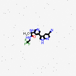 C[C@@](N)(C(=O)NCC(F)(F)F)c1cncc(-c2c[nH]c3ncc(C#N)cc23)c1